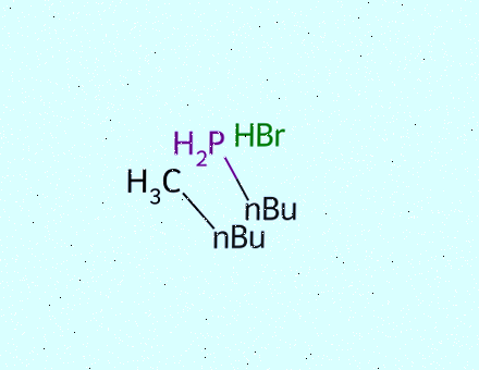 Br.CCCCC.CCCCP